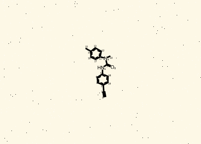 C#Cc1ccc(NC(=O)N(C)c2ccc(C)cc2)cc1